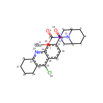 CC(C)(C)OC(=O)N1CC2CCCC(C1)N2C(=O)c1ccc2c(Cl)c3c(nc2c1)CCCC3